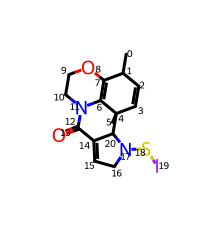 CC1C=CC2(C)C3=C1OCCN3C(=O)C1=CCN(SI)C12